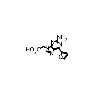 Nc1nc(-c2ccco2)c2ncn(CC(=O)O)c2n1